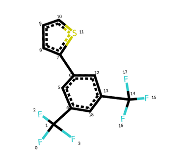 FC(F)(F)c1cc(-c2c[c]cs2)cc(C(F)(F)F)c1